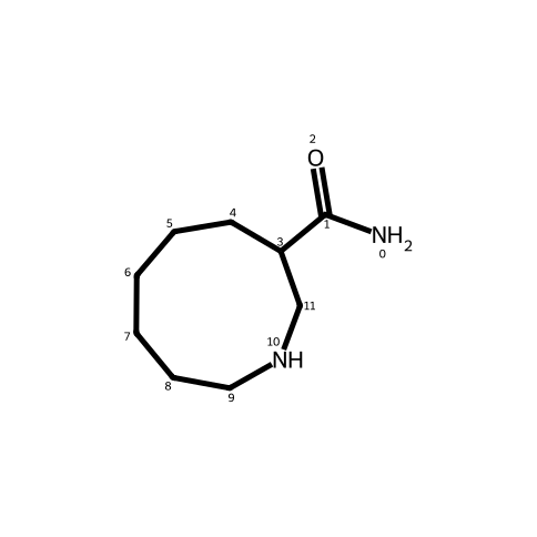 NC(=O)C1CCCCCCNC1